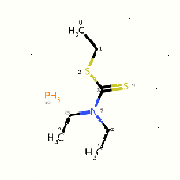 CCSC(=S)N(CC)CC.P